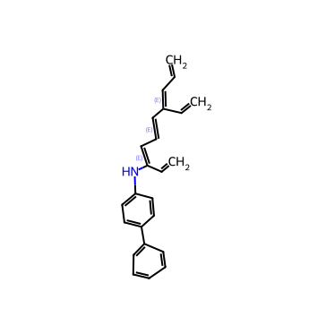 C=C/C=C(C=C)/C=C/C=C(\C=C)Nc1ccc(-c2ccccc2)cc1